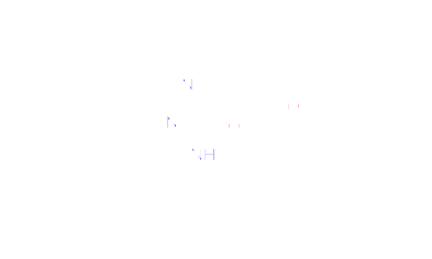 C=Cc1ncc(OCCOC)c(NC(C)CCC)n1